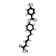 CCc1ccc(C(=O)OC2CCC(CC/C=C/C=C(F)C#N)CC2)cc1